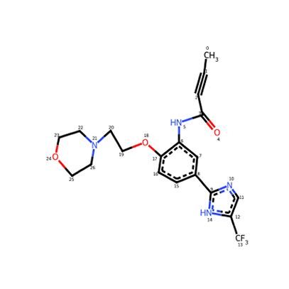 CC#CC(=O)Nc1cc(-c2ncc(C(F)(F)F)[nH]2)ccc1OCCN1CCOCC1